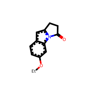 CCOc1ccc2cc3n(c2c1)C(=O)CC3